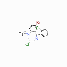 CN1CC(Cl)CN=C(c2ccccc2Cl)c2cc(Br)ccc21